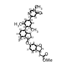 COC(=O)C[C@@H]1COc2cc(O[C@@H]3CCc4c(-c5c(C)cc(-c6cc(=O)n(C)cn6)cc5C)ccc(F)c43)ccc21